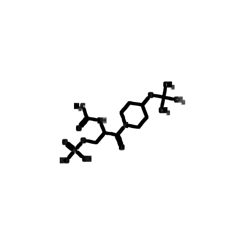 CC(=O)NC(COP(=O)(O)O)C(=O)N1CCC(OC(C)(C)C)CC1